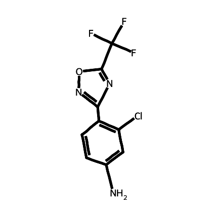 Nc1ccc(-c2noc(C(F)(F)F)n2)c(Cl)c1